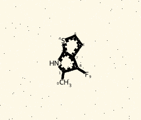 Cc1[nH]c2sccc2c1F